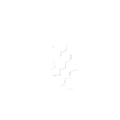 BN(C)c1nc(N)c(-c2ccc(F)c(C#N)c2)c2c1ncn2C